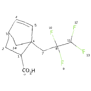 O=C(O)C1CC2C=CC1(CC(F)(F)C(F)F)C2